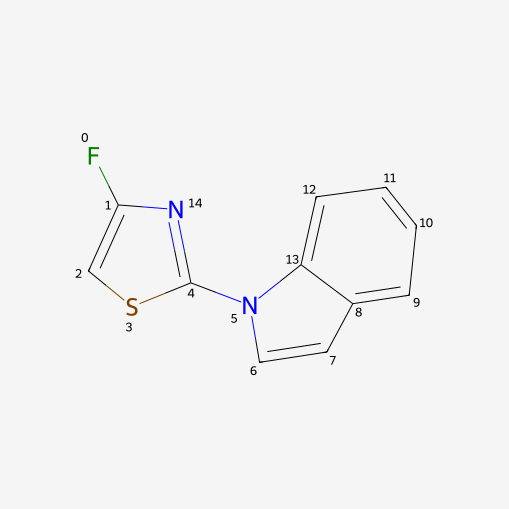 Fc1csc(-n2ccc3ccccc32)n1